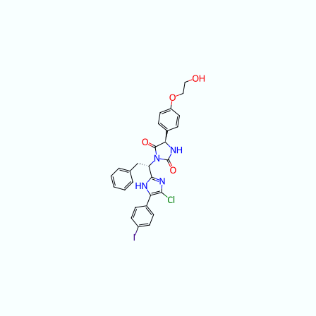 O=C1N[C@H](c2ccc(OCCO)cc2)C(=O)N1[C@@H](Cc1ccccc1)c1nc(Cl)c(-c2ccc(I)cc2)[nH]1